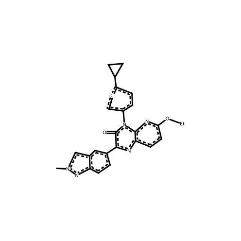 CCOc1ccc2nc(-c3ccc4nn(C)cc4c3)c(=O)n(-c3ccc(C4CC4)cc3)c2n1